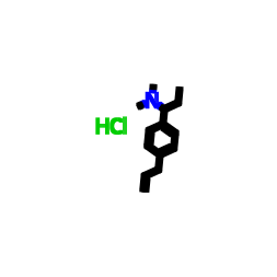 C=CCc1ccc(C(CC)N(C)C)cc1.Cl